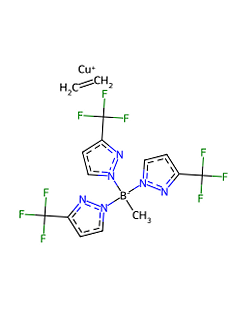 C=C.C[B-](n1ccc(C(F)(F)F)n1)(n1ccc(C(F)(F)F)n1)n1ccc(C(F)(F)F)n1.[Cu+]